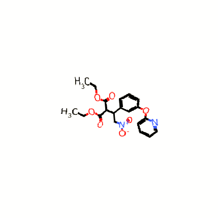 CCOC(=O)C(C(=O)OCC)C(C[N+](=O)[O-])c1cccc(Oc2ccccn2)c1